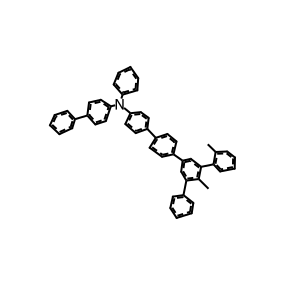 Cc1ccccc1-c1cc(-c2ccc(-c3ccc(N(c4ccccc4)c4ccc(-c5ccccc5)cc4)cc3)cc2)cc(-c2ccccc2)c1C